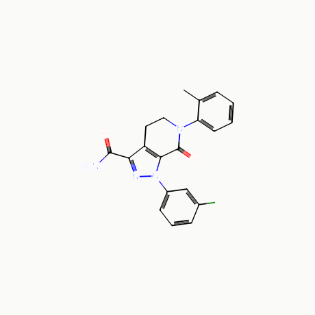 Cc1ccccc1N1CCc2c(C(N)=O)nn(-c3cccc(F)c3)c2C1=O